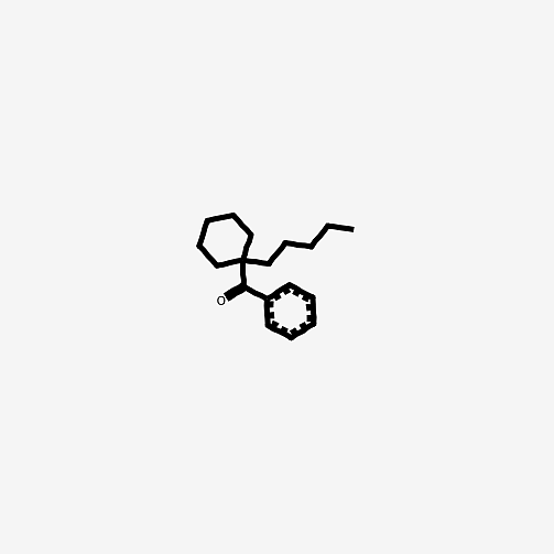 CCCCCC1(C(=O)c2ccccc2)CCCCC1